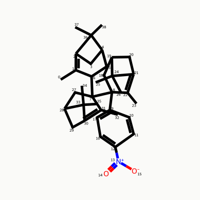 CC1=C2CC(CC1C1(C3(c4ccc([N+](=O)[O-])cc4)CC4CC(=C3C)C4(C)C)CC3CC(=C1C)C3(C)C)C2(C)C